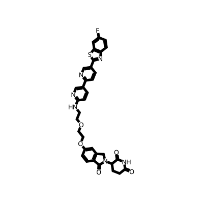 O=C1CCC(N2Cc3cc(OCCOCCNc4ccc(-c5ccc(-c6nc7ccc(F)cc7s6)cn5)cn4)ccc3C2=O)C(=O)N1